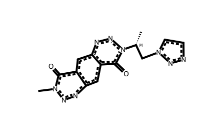 C[C@H](Cn1ccnn1)n1nnc2cc3c(=O)n(C)nnc3cc2c1=O